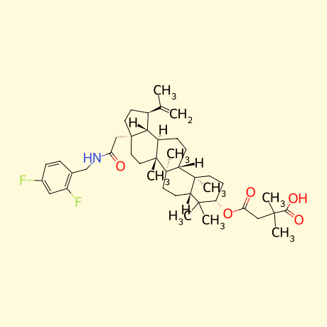 C=C(C)[C@@H]1CC[C@]2(CC(=O)NCc3ccc(F)cc3F)CC[C@]3(C)[C@H](CC[C@@H]4[C@@]5(C)CC[C@H](OC(=O)CC(C)(C)C(=O)O)C(C)(C)[C@@H]5CC[C@]43C)[C@@H]12